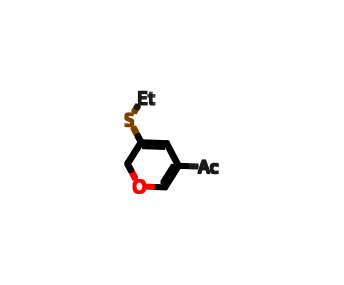 CCSC1=CC(C(C)=O)=COC1